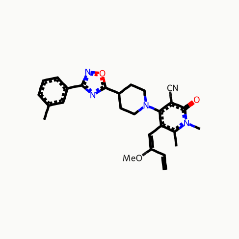 C=C/C(=C\c1c(N2CCC(c3nc(-c4cccc(C)c4)no3)CC2)c(C#N)c(=O)n(C)c1C)OC